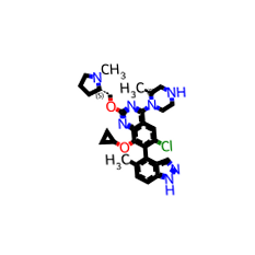 Cc1ccc2[nH]ncc2c1-c1c(Cl)cc2c(N3CCNC[C@@H]3C)nc(OC[C@@H]3CCCN3C)nc2c1OC1CC1